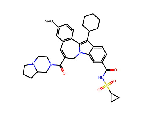 COc1ccc2c(c1)C=C(C(=O)N1CCN3CCCC3C1)Cn1c-2c(C2CCCCC2)c2ccc(C(=O)NS(=O)(=O)C3CC3)cc21